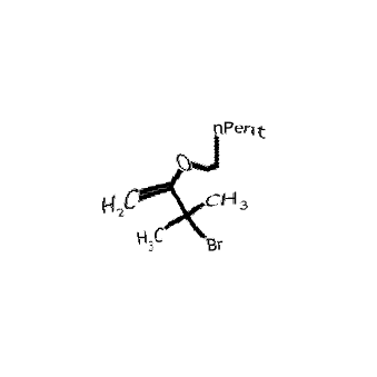 C=C(OCCCCCC)C(C)(C)Br